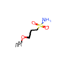 CCCOCCCS(N)(=O)=O